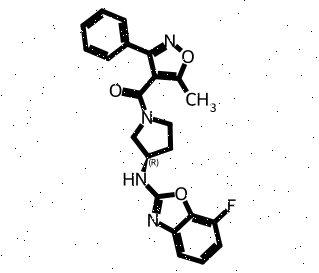 Cc1onc(-c2ccccc2)c1C(=O)N1CC[C@@H](Nc2nc3cccc(F)c3o2)C1